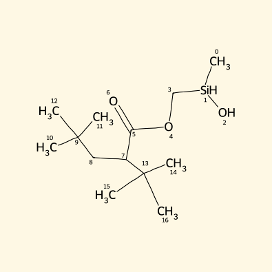 C[SiH](O)COC(=O)C(CC(C)(C)C)C(C)(C)C